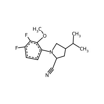 COc1c(N2CC(C(C)C)CC2C#N)ccc(F)c1F